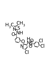 Cc1nc(NC(=O)c2cccc(Oc3ncc(Cl)cc3NS(=O)(=O)c3ccc(Cl)c(Cl)c3)c2)sc1C